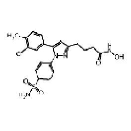 Cc1ccc(-c2cc(CCCC(=O)NO)nn2-c2ccc(S(N)(=O)=O)cc2)cc1Cl